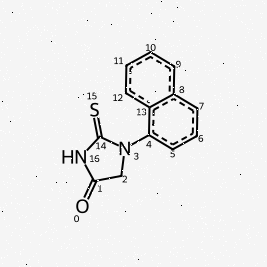 O=C1CN(c2cccc3ccccc23)C(=S)N1